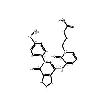 CNC(=O)CCCn1cccc(Nc2nn(-c3ccc(OC(F)(F)F)cc3)c(=O)c3c2CCC3)c1=O